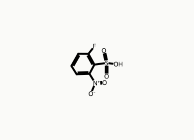 O=[N+]([O-])c1cccc(F)c1S(=O)(=O)O